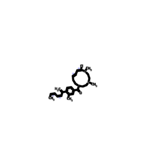 C=C(/C=C\C=C/C)c1ccc(C(=O)N2CC/C=C/C=C(/Cl)N(C)CCN(C)CC2)cc1C